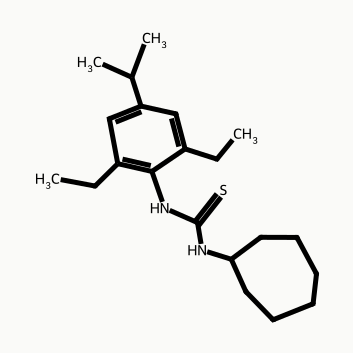 CCc1cc(C(C)C)cc(CC)c1NC(=S)NC1CCCCCC1